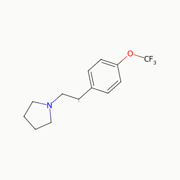 FC(F)(F)Oc1ccc([CH]CN2CCCC2)cc1